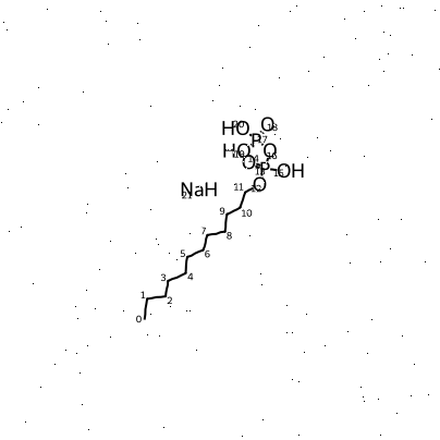 CCCCCCCCCCCCOP(=O)(O)OP(=O)(O)O.[NaH]